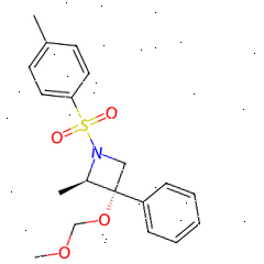 COCO[C@@]1(c2ccccc2)CN(S(=O)(=O)c2ccc(C)cc2)[C@@H]1C